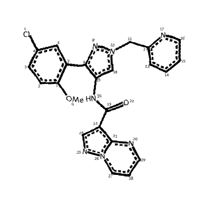 COc1ccc(Cl)cc1-c1nn(Cc2ccccn2)cc1NC(=O)c1cnn2cccnc12